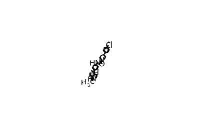 CN1CC[C@H]2[C@@H]1CCN2c1ccc(NC(=O)N2CCC(c3ccc(Cl)cc3)CC2)cc1